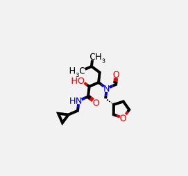 CC(C)CC(C(O)C(=O)NCC1CC1)N(C=O)C[C@@H]1CCOC1